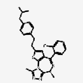 Cc1nnc2n1-c1sc(CCc3ccc(CC(C)C)cc3)cc1C(c1ccccc1Cl)=N[C@H]2C